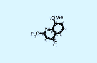 COc1cccc2c(F)cc(C(F)(F)F)nc12